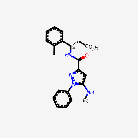 CCNc1cc(C(=O)N[C@@H](CC(=O)O)c2ccccc2C)nn1-c1ccccc1